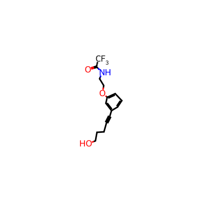 O=C(NCCOc1cccc(C#CCCCO)c1)C(F)(F)F